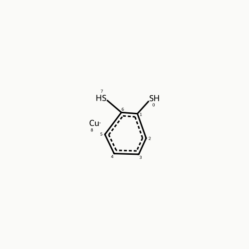 Sc1ccccc1S.[Cu]